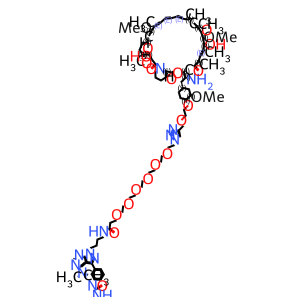 CO[C@H]1C[C@@H]2CC[C@@H](C)[C@@](O)(O2)C(=O)C(=O)N2CCCC[C@H]2C(=O)O[C@H]([C@H](N)C[C@@H]2CC[C@@H](OCCOCc3cn(CCOCCOCCOCCOCCOCCOCCC(=O)NCCCCn4nc(-c5ccc6oc(N)nc6c5)c5c(N(C)C)ncnc54)nn3)[C@H](OC)C2)CC(=O)[C@H](C)/C=C(\C)[C@@H](O)[C@@H](OC)C(=O)[C@H](C)C[C@H](C)/C=C/C=C/C=C/1C